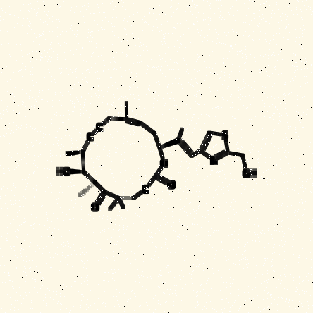 C/C1=C/C[C@@H](/C(C)=C/c2csc(CO)n2)OC(=O)CCC(C)(C)C(=O)[C@H](C)[C@@H](O)[C@@H](C)CCC1